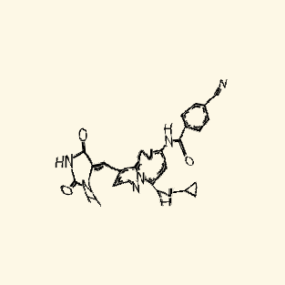 N#Cc1ccc(C(=O)Nc2cc(NC3CC3)n3ncc(C=C4NC(=O)NC4=O)c3n2)cc1